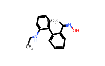 CCOC(=O)/C(=N/O)c1ccccc1-c1ccccc1NCC(F)(F)F